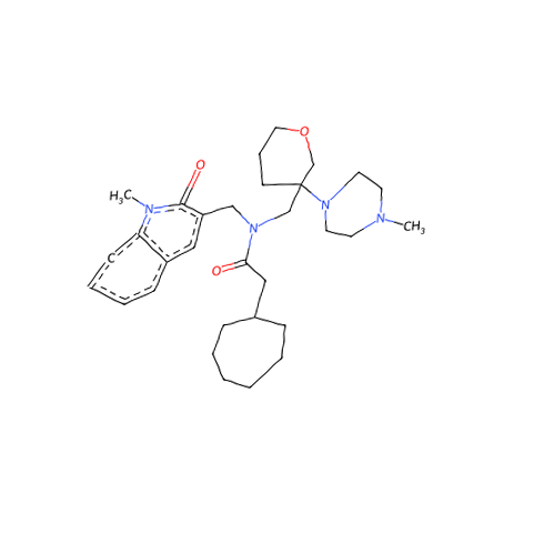 CN1CCN(C2(CN(Cc3cc4ccccc4n(C)c3=O)C(=O)CC3CCCCCC3)CCCOC2)CC1